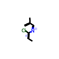 C=C(C)/C=N\C(Cl)=C/C